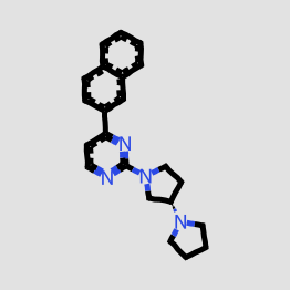 c1ccc2cc(-c3ccnc(N4CC[C@H](N5CCCC5)C4)n3)ccc2c1